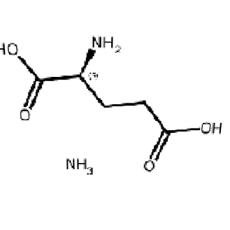 N.N[C@@H](CCC(=O)O)C(=O)O